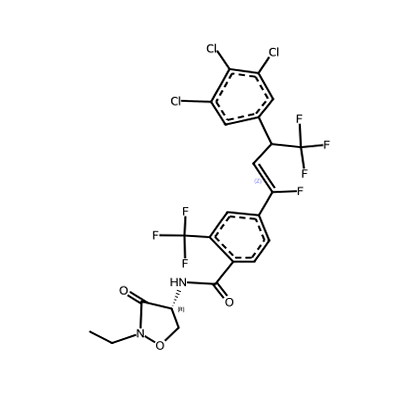 CCN1OC[C@@H](NC(=O)c2ccc(/C(F)=C/C(c3cc(Cl)c(Cl)c(Cl)c3)C(F)(F)F)cc2C(F)(F)F)C1=O